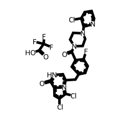 O=C(O)C(F)(F)F.O=C(c1cc(Cc2c[nH]c(=O)c3cc(Cl)c(Cl)n23)ccc1F)N1CCN(c2ncccc2Cl)CC1